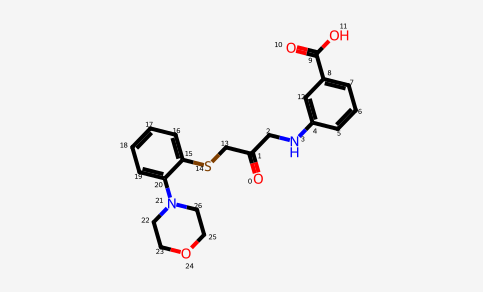 O=C(CNc1cccc(C(=O)O)c1)CSc1ccccc1N1CCOCC1